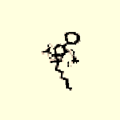 CCCCCCC(C)(C)C1(OC(C)=O)C=CC(C2C=CCCCC2)=C(OC(C)=O)C1